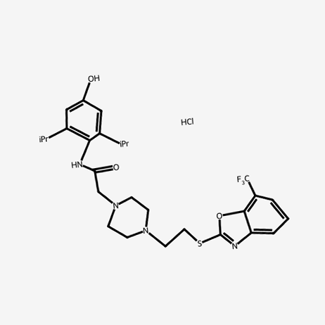 CC(C)c1cc(O)cc(C(C)C)c1NC(=O)CN1CCN(CCSc2nc3cccc(C(F)(F)F)c3o2)CC1.Cl